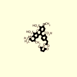 C/N=c1\ccc2c(-c3ccc(CC(=O)ON4C(=O)CCC4=O)cc3C(=O)O)c3cc4c(c(S(=O)(=O)O)c3oc-2c1S(=O)(=O)O)NC(C)(C)CC4C